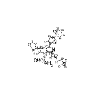 Cc1c(N2CCOC[C@H]2C)nc2c(-c3ccn(C4CCCCO4)n3)nn(COCC[Si](C)(C)C)c2c1C.NC=O